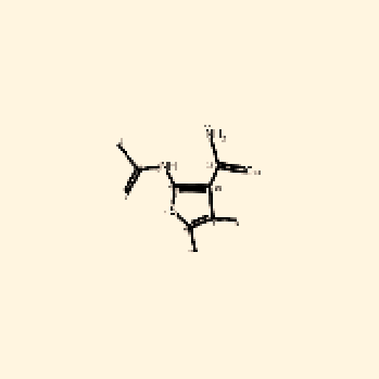 C=C(C)Nc1sc(C)c(C)c1C(N)=O